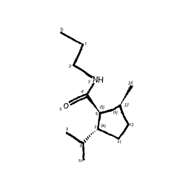 CCCNC(=O)[C@@H]1[C@@H](C(C)C)CC[C@@H]1C